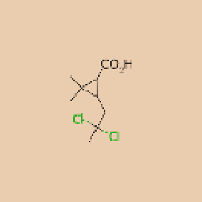 CC(Cl)(Cl)CC1C(C(=O)O)C1(C)C